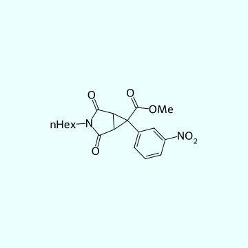 CCCCCCN1C(=O)C2C(C1=O)C2(C(=O)OC)c1cccc([N+](=O)[O-])c1